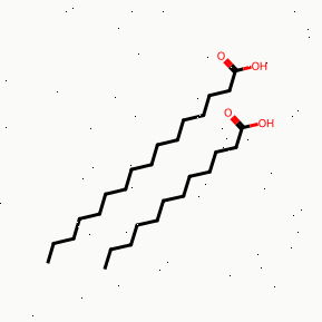 CCCCCCCCCCCC(=O)O.CCCCCCCCCCCCCCCC(=O)O